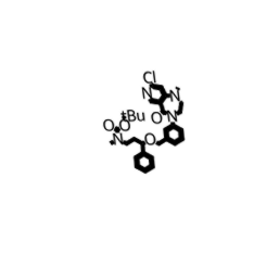 CN(CCC(OCc1cccc(N2CCN(C)c3cc(Cl)ncc3C2=O)c1)c1ccccc1)C(=O)OC(C)(C)C